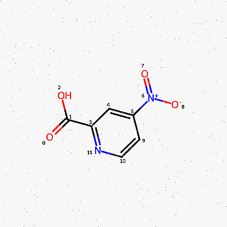 O=C(O)c1cc([N+](=O)[O-])ccn1